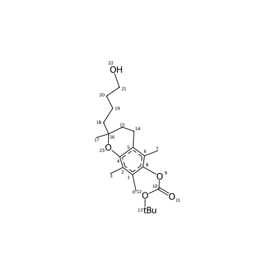 Cc1c(C)c2c(c(C)c1OC(=O)OC(C)(C)C)CCC(C)(CCCCO)O2